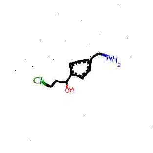 NCc1ccc(C(O)CCCl)cc1